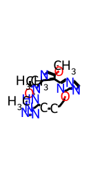 CCN1C(=O)NC(c2ncnn2C)CCCCCOc2nc(cn3ccnc23)-c2cc(ncc2OC)[C@H]1C